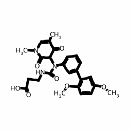 COc1ccc(OC)c(-c2cccc(N(C(=O)NCCC(=O)O)C3C(=O)C(C)=CN(C)C3=O)c2)c1